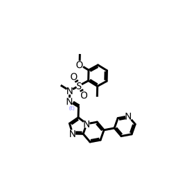 COc1cccc(C)c1S(=O)(=O)N(C)/N=C/c1cnc2ccc(-c3cccnc3)cn12